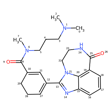 CN(C)CCCN(C)C(=O)C1=CC(c2nc3cccc4c3n2CCNC4=O)=CCC1